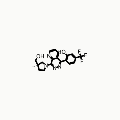 C[C@@]1(CO)CCN(c2nnc(-c3ccc(C(F)(F)F)cc3O)c3cccnc23)C1